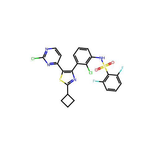 O=S(=O)(Nc1cccc(-c2nc(C3CCC3)sc2-c2ccnc(Cl)n2)c1Cl)c1c(F)cccc1F